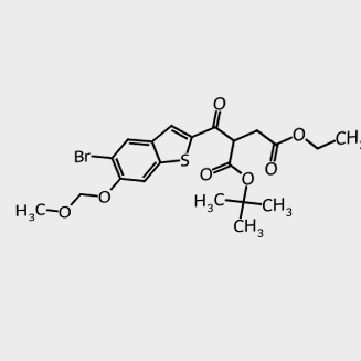 CCOC(=O)CC(C(=O)OC(C)(C)C)C(=O)c1cc2cc(Br)c(OCOC)cc2s1